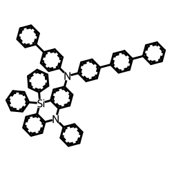 c1ccc(-c2ccc(-c3ccc(N(c4ccc(-c5ccccc5)cc4)c4ccc5c(c4)[Si](c4ccccc4)(c4ccccc4)c4ccccc4N5c4ccccc4)cc3)cc2)cc1